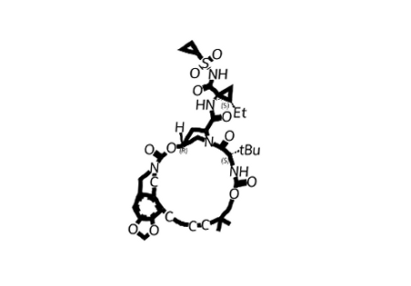 CC[C@H]1C[C@@]1(NC(=O)C1C[C@@H]2CN1C(=O)[C@H](C(C)(C)C)NC(=O)OCC(C)(C)CCCCc1c3c(cc4c1OCO4)CN(C3)C(=O)O2)C(=O)NS(=O)(=O)C1CC1